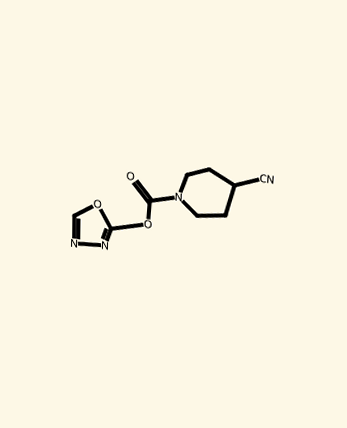 N#CC1CCN(C(=O)Oc2nnco2)CC1